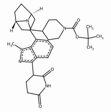 Cn1nc(C2CCC(=O)NC2=O)c2cccc(C3C[C@@H]4CC[C@@H](C3)N4CC3CCN(C(=O)OC(C)(C)C)CC3)c21